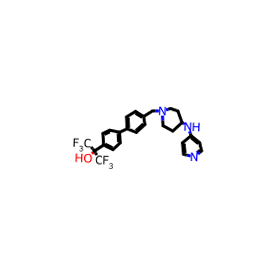 OC(c1ccc(-c2ccc(CN3CCC(Nc4ccncc4)CC3)cc2)cc1)(C(F)(F)F)C(F)(F)F